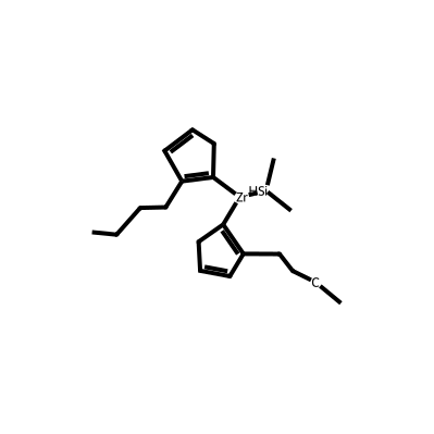 CCCCC1=[C]([Zr]([C]2=C(CCCC)C=CC2)[SiH](C)C)CC=C1